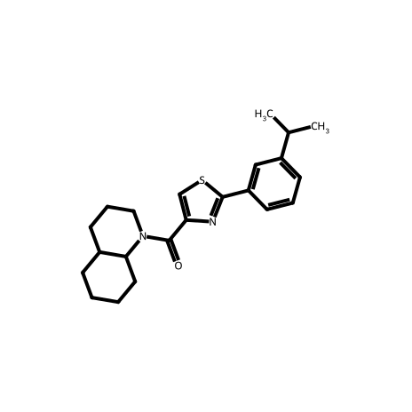 CC(C)c1cccc(-c2nc(C(=O)N3CCCC4CCCCC43)cs2)c1